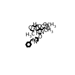 C[C@@H]1COC[C@H]2COc3c(nc(Oc4cnn(Cc5ccccc5)c4)nc3C(C)(C)S(C)(=O)=O)N21